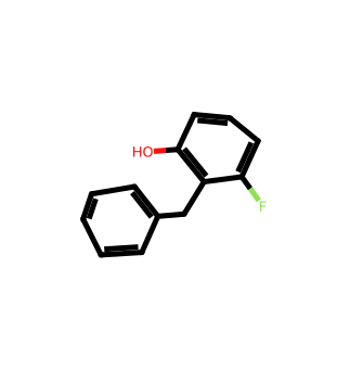 Oc1cccc(F)c1Cc1ccccc1